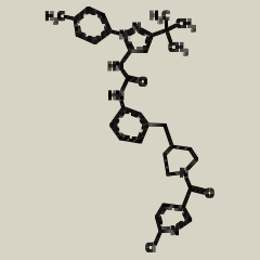 Cc1ccc(-n2nc(C(C)(C)C)cc2NC(=O)Nc2cccc(CC3CCN(C(=O)c4ccc(Cl)nc4)CC3)c2)cc1